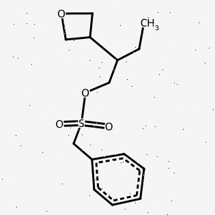 CCC(COS(=O)(=O)Cc1ccccc1)C1COC1